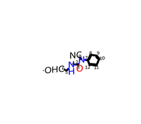 N#CN(C(=O)NC[C]=O)c1ccccc1